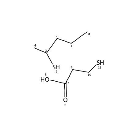 CCCC(C)S.O=C(O)CCS